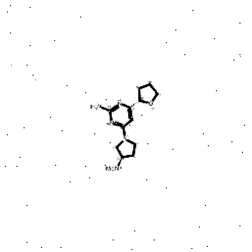 CN[C@@H]1CCN(c2cc([C@@H]3CCCO3)nc(N)n2)C1